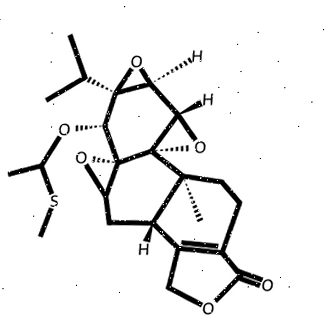 CSC(C)O[C@@H]1[C@@]2(C(C)C)O[C@H]2[C@@H]2O[C@@]23[C@@]2(C)CCC4=C(COC4=O)[C@@H]2CC2O[C@]213